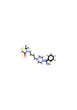 CC1(C)SCC(=O)N1CCCCN1CCN(c2nsc3ccccc23)CC1